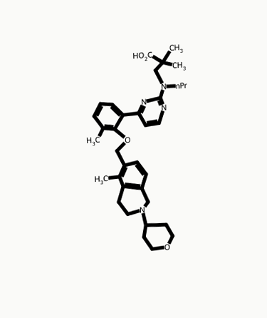 CCCN(CC(C)(C)C(=O)O)c1nccc(-c2cccc(C)c2OCc2ccc3c(c2C)CCN(C2CCOCC2)C3)n1